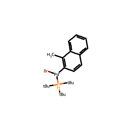 Cc1[c]([Pd-]([Br])[PH](C(C)(C)C)(C(C)(C)C)C(C)(C)C)ccc2ccccc12